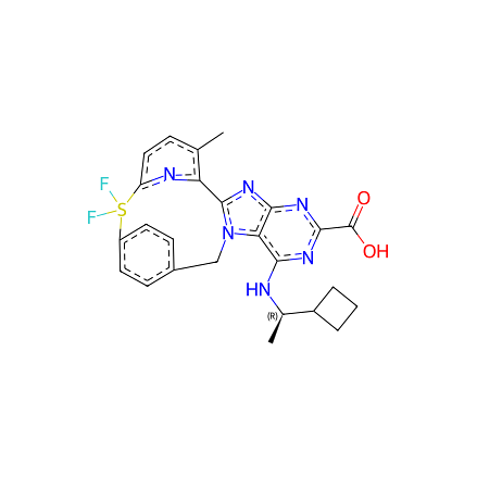 Cc1ccc2nc1-c1nc3nc(C(=O)O)nc(N[C@H](C)C4CCC4)c3n1Cc1ccc(cc1)S2(F)F